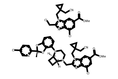 COC(=O)c1cc(Cl)c2nc(CCl)n(CC3(CC#N)CC3)c2c1.COC(=O)c1cc(Cl)c2nc(CN3CCN(c4cccc5c4O[C@](C)(c4ccc(Cl)cn4)O5)[C@@H]4CC[C@H]43)n(CC3(CC#N)CC3)c2c1